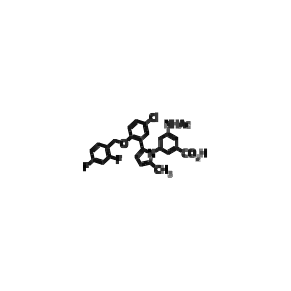 CC(=O)Nc1cc(C(=O)O)cc(-n2c(C)ccc2-c2cc(Cl)ccc2OCc2ccc(F)cc2F)c1